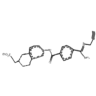 C#CCN=C(N)c1ccc(C(=O)Nc2ccc3c(c2)CCC(CC(=O)OCC)C3)cc1